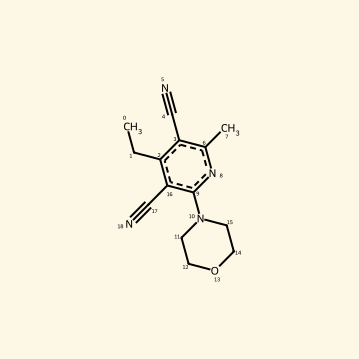 CCc1c(C#N)c(C)nc(N2CCOCC2)c1C#N